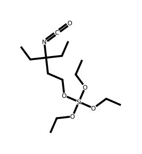 CCO[Si](OCC)(OCC)OCCC(CC)(CC)N=C=O